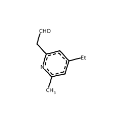 CCc1cc(C)nc(CC=O)c1